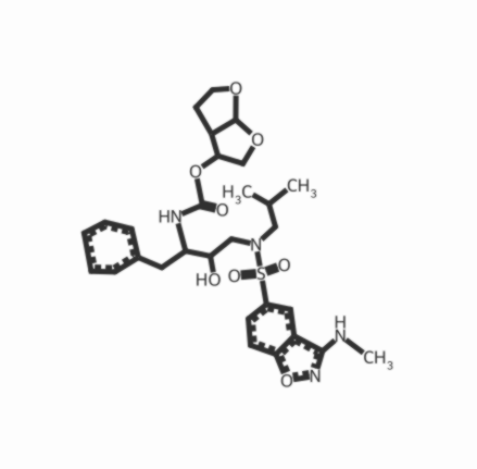 CNc1noc2ccc(S(=O)(=O)N(CC(C)C)CC(O)C(Cc3ccccc3)NC(=O)OC3COC4OCCC34)cc12